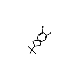 CC(C)(C)C1Cc2cc(F)c(F)cc2C1